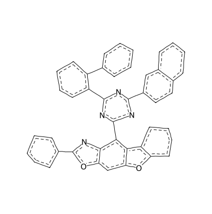 c1ccc(-c2nc3c(-c4nc(-c5ccc6ccccc6c5)nc(-c5ccccc5-c5ccccc5)n4)c4c(cc3o2)oc2ccccc24)cc1